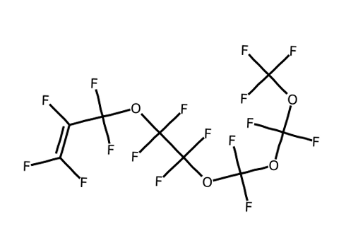 FC(F)=C(F)C(F)(F)OC(F)(F)C(F)(F)OC(F)(F)OC(F)(F)OC(F)(F)F